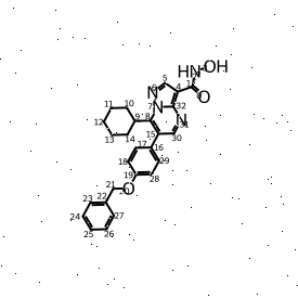 O=C(NO)c1cnn2c(C3CCCCC3)c(-c3ccc(OCc4ccccc4)cc3)cnc12